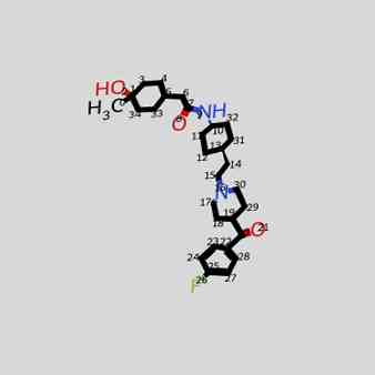 CC1(O)CCC(CC(=O)N[C@H]2CC[C@H](CCN3CCC(C(=O)c4ccc(F)cc4)CC3)CC2)CC1